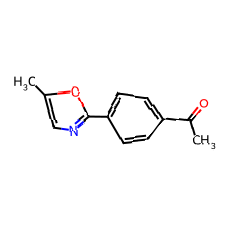 CC(=O)c1ccc(-c2ncc(C)o2)cc1